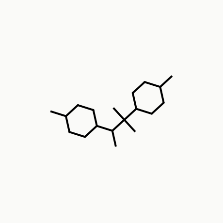 CC1CCC(C(C)C(C)(C)C2CCC(C)CC2)CC1